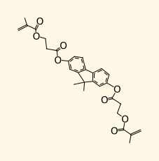 C=C(C)C(=O)OCCC(=O)Oc1ccc2c(c1)C(C)(C)c1cc(OC(=O)CCOC(=O)C(=C)C)ccc1-2